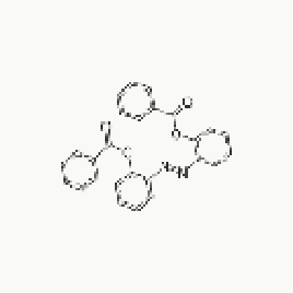 O=C(Oc1ccccc1/N=N/c1ccccc1OC(=O)c1ccccc1)c1ccccc1